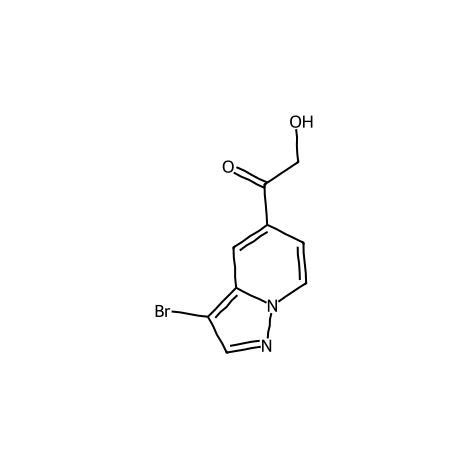 O=C(CO)c1ccn2ncc(Br)c2c1